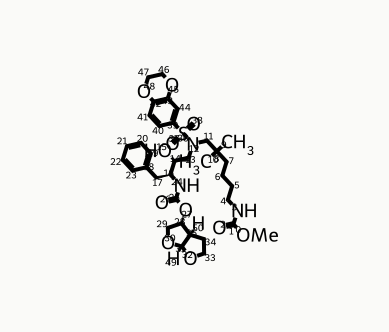 COC(=O)NCCCCC(C)(C)CN(C[C@H](O)[C@H](Cc1ccccc1)NC(=O)O[C@H]1CO[C@H]2OCC[C@H]21)S(=O)(=O)c1ccc2c(c1)OCCO2